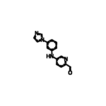 O=Cc1ccc(Nc2cccc(-n3ccnc3)c2)cn1